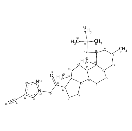 CC1CC2CCC3C4CCC(C(=O)Cn5cc(C#N)cn5)C4(C)CCC3C2(C)C(CC(C)(C)C)C1